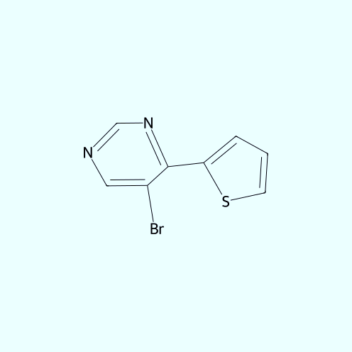 Brc1cncnc1-c1cccs1